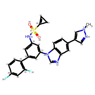 Cn1cc(-c2ccc3c(c2)ncn3-c2cc(NS(=O)(=O)C3=CC3)cc(-c3ccc(F)cc3F)c2)cn1